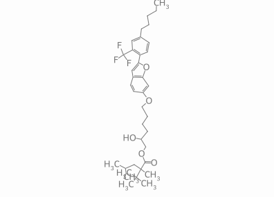 CCCCCc1ccc(-c2cc3ccc(OCCCCC(O)COC(=O)C(C)(CC(C)C)C(C)(C)C)cc3o2)c(C(F)(F)F)c1